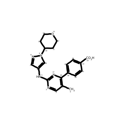 Cc1cnc(Nc2cnn(C3CCOCC3)c2)nc1-c1ccc(C(=O)O)cc1